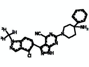 [2H]C([2H])([2H])n1ncc2c(Cl)c(-c3n[nH]c4nc(N5CCC(N)(c6ccccc6)CC5)nc(C#N)c34)ccc21